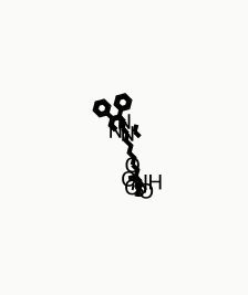 CC(C)N(CCCCOCC(=O)NS(C)(=O)=O)c1ncc(-c2ccccc2)c(-c2ccccc2)n1